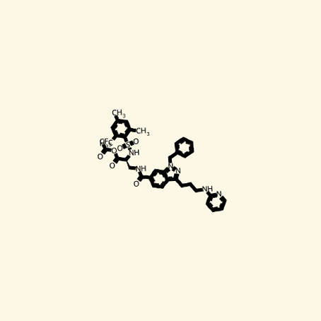 Cc1cc(C)c(S(=O)(=O)N[C@@H](CNC(=O)c2ccc3c(CCCNc4ccccn4)nn(Cc4ccccc4)c3c2)C(=O)OC(=O)C(F)(F)F)c(C)c1